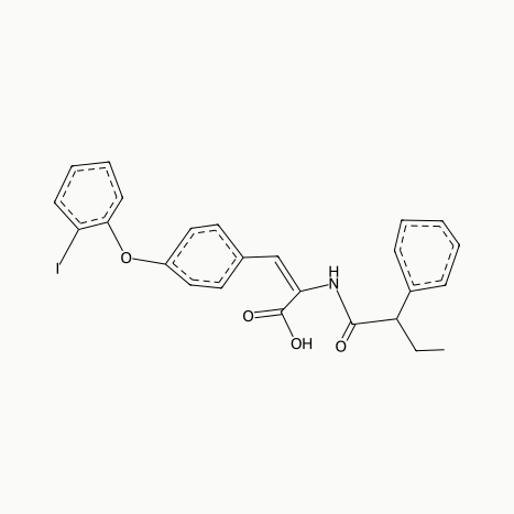 CCC(C(=O)N/C(=C/c1ccc(Oc2ccccc2I)cc1)C(=O)O)c1ccccc1